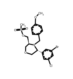 COc1ccc(CN2[C@H](COS(C)(=O)=O)COC[C@H]2c2cc(Cl)cc(Br)c2)cc1